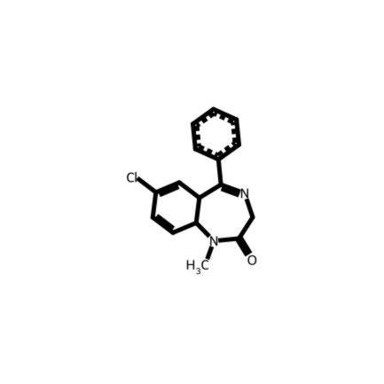 CN1C(=O)CN=C(c2ccccc2)C2C=C(Cl)C=CC21